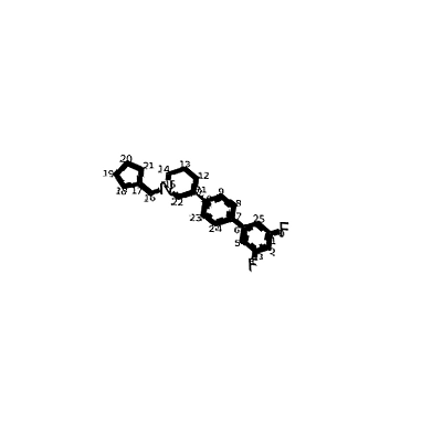 Fc1cc(F)cc(-c2ccc([C@@H]3CCCN(CC4CCCC4)C3)cc2)c1